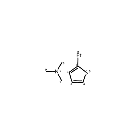 CCc1cccs1.CN(C)C